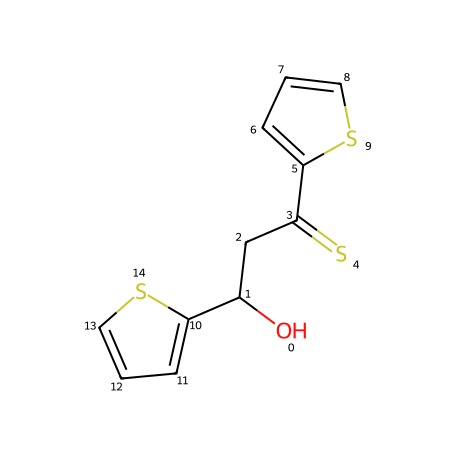 OC(CC(=S)c1cccs1)c1cccs1